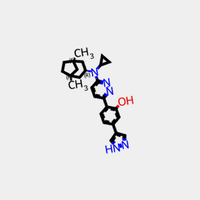 C[C@]12CC[C@](C)(C[C@@H](N(c3ccc(-c4ccc(-c5cn[nH]c5)cc4O)nn3)C3CC3)C1)C2